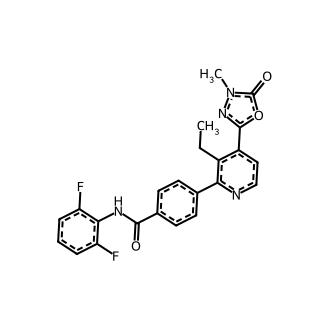 CCc1c(-c2nn(C)c(=O)o2)ccnc1-c1ccc(C(=O)Nc2c(F)cccc2F)cc1